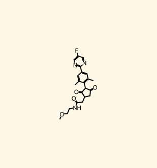 COCCNC(=O)CC1CC(=O)C(c2c(C)cc(-c3ncc(F)cn3)cc2C)C1=O